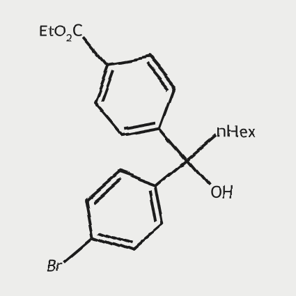 CCCCCCC(O)(c1ccc(Br)cc1)c1ccc(C(=O)OCC)cc1